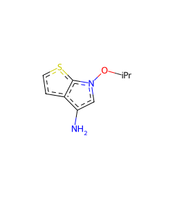 CC(C)On1cc(N)c2ccsc21